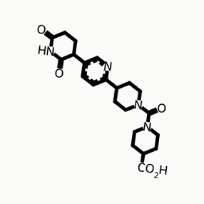 O=C1CCC(c2ccc(C3CCN(C(=O)N4CCC(C(=O)O)CC4)CC3)nc2)C(=O)N1